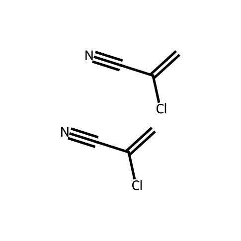 C=C(Cl)C#N.C=C(Cl)C#N